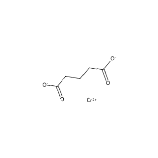 O=C([O-])CCCC(=O)[O-].[Cr+2]